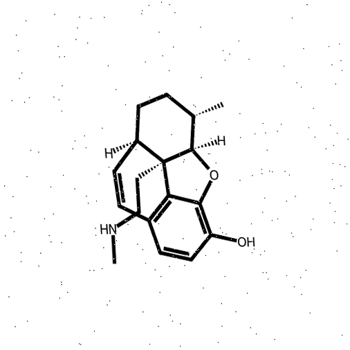 CNCC[C@@]12c3c4ccc(O)c3O[C@@H]1[C@@H](C)CC[C@@H]2C=C4